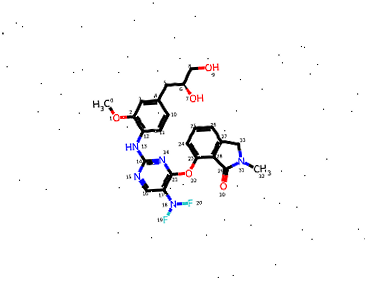 COc1cc(C[C@H](O)CO)ccc1Nc1ncc(N(F)F)c(Oc2cccc3c2C(=O)N(C)C3)n1